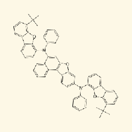 CC(C)(C)c1cccc2c1oc1c(N(c3ccccc3)c3ccc4c(c3)oc3cc(N(c5ccccc5)c5cccc6c5oc5c(C(C)(C)C)cccc56)c5ccccc5c34)cccc12